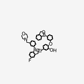 Fc1ccc2c(c1)COB2c1cccc(CN2CCOCC2)c1.Oc1cc(Cl)ccc1Oc1cccc(B2OCc3ccccc32)c1